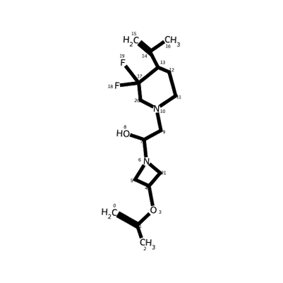 C=C(C)OC1CN(C(O)CN2CCC(C(=C)C)C(F)(F)C2)C1